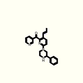 C/C=C/c1ccc(N2CCNC(c3ccccc3)C2)nc1C(=O)c1cccnc1